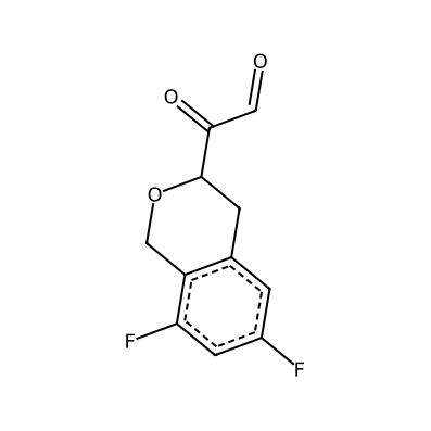 O=CC(=O)C1Cc2cc(F)cc(F)c2CO1